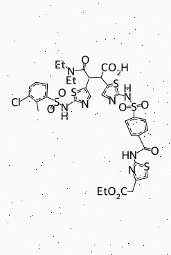 CCOC(=O)Cc1csc(NC(=O)c2ccc(S(=O)(=O)Nc3ncc(C(C(=O)O)C(C(=O)N(CC)CC)c4cnc(NS(=O)(=O)c5cccc(Cl)c5C)s4)s3)cc2)n1